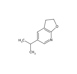 CC(C)c1cnc2c(c1)CCO2